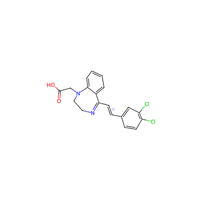 O=C(O)CN1CCN=C(/C=C/c2ccc(Cl)c(Cl)c2)c2ccccc21